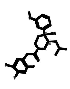 COc1cccc([C@@]2(O)CCN(C(=O)Cc3cc(F)c(F)cc3F)C[C@@H]2CN(C)C)c1